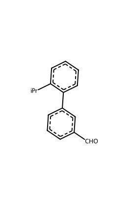 CC(C)c1ccccc1-c1cccc(C=O)c1